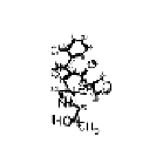 Cc1c(-c2onc(-c3ccccc3Cl)c2C(=O)OC2COC2)cnn1C[C@H](C)O